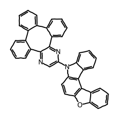 c1ccc2c(c1)-c1ccccc1-c1ncc(-n3c4ccccc4c4c5c(ccc43)oc3ccccc35)nc1-c1ccccc1-2